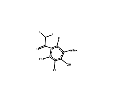 CCCCCCc1c(O)c(Cl)c(O)c(C(=O)C(F)F)c1F